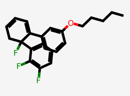 CCCCCOc1cccc(C2=CC=CCC2(F)c2cccc(F)c2F)c1